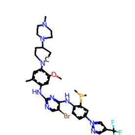 COc1cc(Nc2ncc(Br)c(Nc3ccc(-n4cc(C(F)(F)F)cn4)cc3P(C)C)n2)c(C)cc1N1CCC(N2CCN(C)CC2)CC1